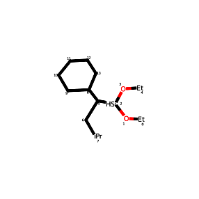 CCO[SiH](OCC)C(CC(C)C)C1CCCCC1